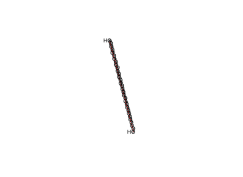 OCCOCCOCCOCCOCCOCCOCCOCCOCCOCCOCCOCCOCCOCCOCCOCCOCCOCCOCCOCCOCCOCCOCCOCCOCCOCCOCCOCCOCCOCCO